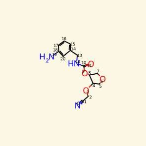 N#CCOC1COCC1OC(=O)NCc1cccc(N)c1